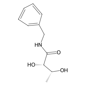 C[C@@H](O)[C@H](O)C(=O)NCc1ccccc1